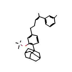 CC(C)(C)[Si](C)(C)Oc1cc(CCC=C(C(=O)O)c2cccc(C(F)(F)F)c2)ccc1C12CC3CC(CC(C3)C1)C2